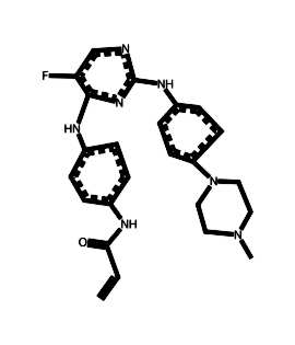 C=CC(=O)Nc1ccc(Nc2nc(Nc3ccc(N4CCN(C)CC4)cc3)ncc2F)cc1